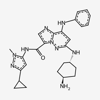 Cn1nc(C2CC2)cc1NC(=O)c1cnc2c(Nc3ccccc3)cc(N[C@H]3CC[C@H](N)CC3)nn12